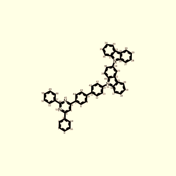 c1ccc(-c2cc(-c3ccc(-c4ccc(-n5c6ccccc6c6cc(-n7c8ccccc8c8ccccc87)ccc65)cc4)cc3)nc(-c3ccccc3)n2)cc1